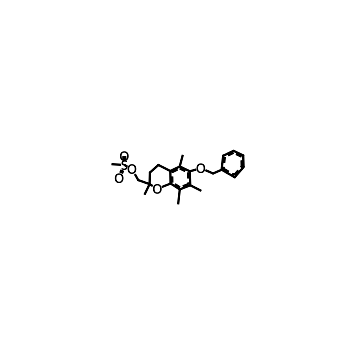 Cc1c(C)c2c(c(C)c1OCc1ccccc1)CCC(C)(COS(C)(=O)=O)O2